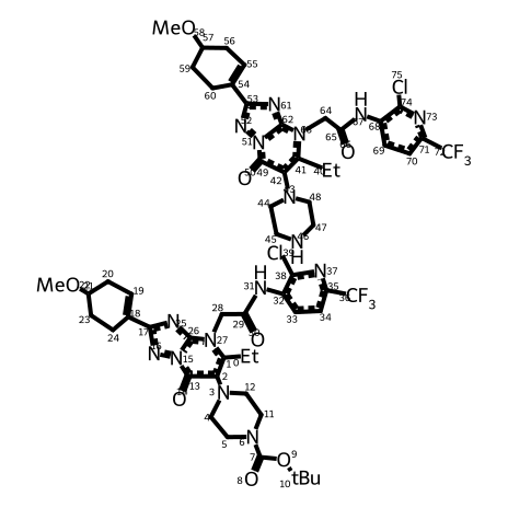 CCc1c(N2CCN(C(=O)OC(C)(C)C)CC2)c(=O)n2nc(C3=CCC(OC)CC3)nc2n1CC(=O)Nc1ccc(C(F)(F)F)nc1Cl.CCc1c(N2CCNCC2)c(=O)n2nc(C3=CCC(OC)CC3)nc2n1CC(=O)Nc1ccc(C(F)(F)F)nc1Cl